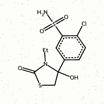 CCN1C(=O)SCC1(O)c1ccc(Cl)c(S(N)(=O)=O)c1